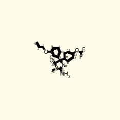 C=CCOc1cccc([C@@]2(C3C=CC(OC(F)F)=CC3)N=C(N)N(C)C2=O)c1